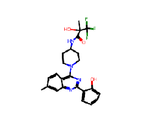 Cc1ccc2c(N3CCC(NC(=O)C(C)(O)C(F)(F)F)CC3)nc(-c3ccccc3O)nc2c1